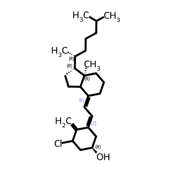 C=C1/C(=C\C=C2/CCC[C@@]3(C)C2CC[C@@H]3[C@H](C)CCCC(C)C)C[C@@H](O)CC1Cl